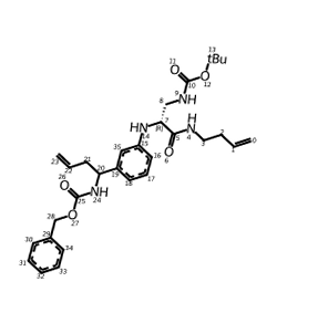 C=CCCNC(=O)[C@@H](CNC(=O)OC(C)(C)C)Nc1cccc(C(CC=C)NC(=O)OCc2ccccc2)c1